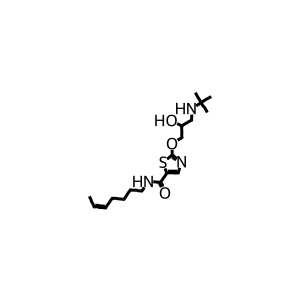 C/C=C\CCCCNC(=O)c1cnc(OCC(O)CNC(C)(C)C)s1